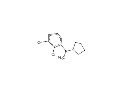 CN(c1cccc(Cl)c1Cl)C1CCCC1